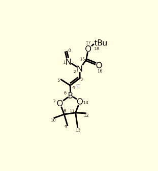 C=NN(/C=C(\C)B1OC(C)(C)C(C)(C)O1)C(=O)OC(C)(C)C